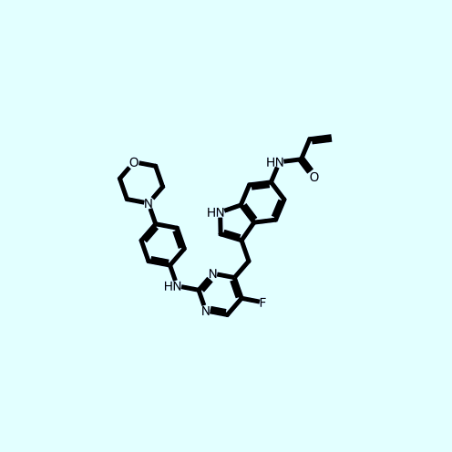 C=CC(=O)Nc1ccc2c(Cc3nc(Nc4ccc(N5CCOCC5)cc4)ncc3F)c[nH]c2c1